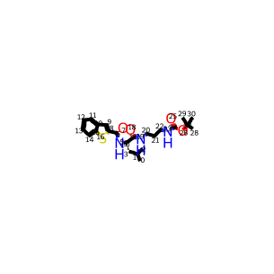 CC(C)C[C@H](NC(=O)c1cc2ccccc2s1)C(=O)NCCCNC(=O)OC(C)(C)C